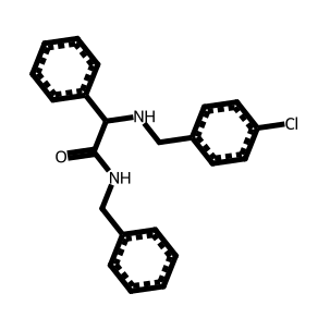 O=C(NCc1ccccc1)C(NCc1ccc(Cl)cc1)c1ccccc1